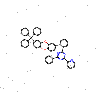 c1ccc(-c2nc(-c3ccccn3)nc(-c3ccccc3-c3ccc4c(c3)Oc3c(ccc5c3-c3ccccc3C5(c3ccccc3)c3ccccc3)O4)n2)cc1